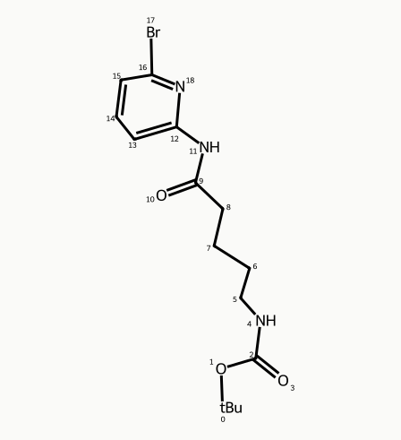 CC(C)(C)OC(=O)NCCCCC(=O)Nc1cccc(Br)n1